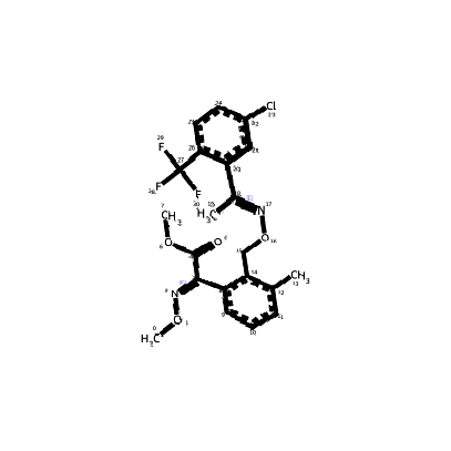 CO/N=C(/C(=O)OC)c1cccc(C)c1CO/N=C(\C)c1cc(Cl)ccc1C(F)(F)F